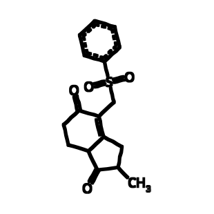 CC1CC2=C(CS(=O)(=O)c3ccccc3)C(=O)CCC2C1=O